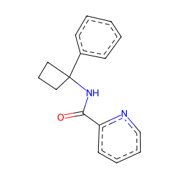 O=C(NC1(c2ccccc2)CCC1)c1ccccn1